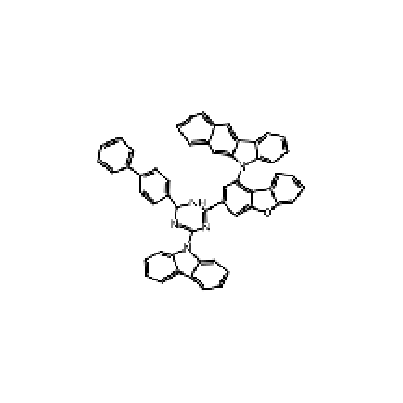 c1ccc(-c2ccc(C3N=C(n4c5ccccc5c5ccccc54)N=C(c4cc(-n5c6ccccc6c6cc7ccccc7cc65)c5c(c4)oc4ccccc45)N3)cc2)cc1